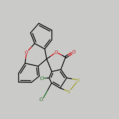 O=C1OC2(c3ccccc3Oc3ccccc32)c2c(Cl)c(Cl)c3ssc3c21